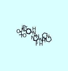 CC(C)N1C(=O)C(C)(C)Oc2cc(Nc3ncc(F)c(N[C@@H]4CCCN5CCCC[C@H]45)n3)ccc21